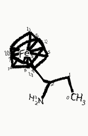 CCC(N)[C]12[CH]3[CH]4[CH]5[CH]1[Fe]45321678[CH]2[CH]1[CH]6[CH]7[CH]28